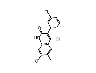 O=c1[nH]c2cc(Cl)c(I)cc2c(O)c1-c1cccc(Cl)c1